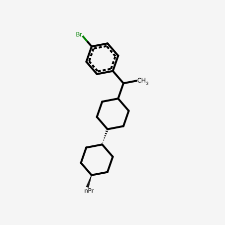 CCC[C@H]1CC[C@H](C2CCC(C(C)c3ccc(Br)cc3)CC2)CC1